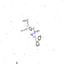 COCCCOc1cc(C(=O)N(C(C)C)C2CNCC(COc3ccccc3-c3ccccc3)C2)ccc1OC